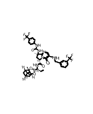 CC[C@H](NC(=O)[C@@H]1C[C@@](C)(NC(=O)Nc2ccc(C(F)(F)F)cc2)c2ncc(NCc3cccc(C(F)(F)F)c3)c(=O)n21)B1O[C@@H]2C[C@@H]3C[C@@H](C3(C)C)[C@]2(C)O1